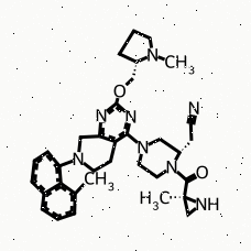 Cc1cccc2cccc(N3CCc4c(nc(OC[C@@H]5CCCN5C)nc4N4CCN(C(=O)[C@]5(C)CN5)[C@@H](CC#N)C4)C3)c12